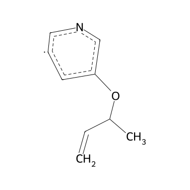 C=CC(C)Oc1c[c]cnc1